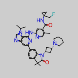 Cc1cnc(Nc2nc(-c3ccc4c(c3)N([C@H]3C[C@@H](N5CCCCC5)C3)C(=O)C4(C)C)cc3ncn(C(C)C)c23)cc1C(=O)NC1(CF)CC1